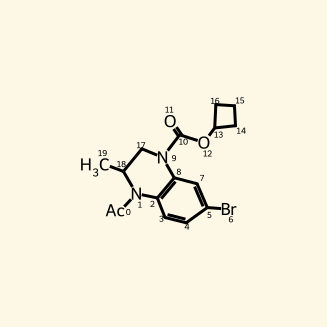 CC(=O)N1c2ccc(Br)cc2N(C(=O)OC2CCC2)CC1C